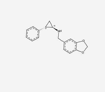 c1ccc([C@@H]2C[C@H]2NCc2ccc3c(c2)OCO3)cc1